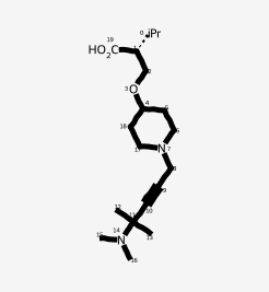 CC(C)[C@H](COC1CCN(CC#CC(C)(C)N(C)C)CC1)C(=O)O